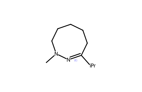 CC(C)/C1=N/N(C)CCCCC1